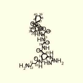 N=C(N)Nc1cc(NC(=O)CCCN)cc(C(=O)NCC(=O)NC[C@H](NC(=O)[C@@H]2CCCN2S(=O)(=O)c2ccccc2)C(=O)O)c1